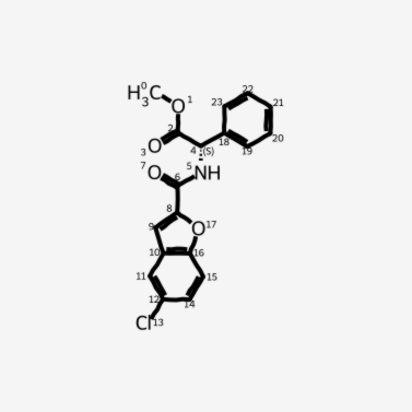 COC(=O)[C@@H](NC(=O)c1cc2cc(Cl)ccc2o1)c1ccccc1